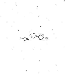 CCc1ccc(N2CCO[C@@H](CN3CC(F)C3)C2)cn1